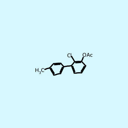 CC(=O)Oc1cccc(-c2ccc(C)cc2)c1Cl